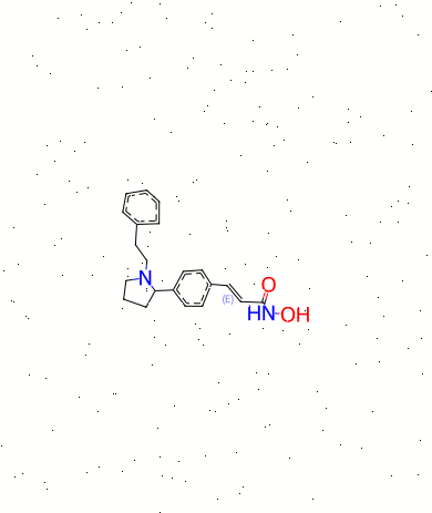 O=C(/C=C/c1ccc(C2CCCN2CCc2ccccc2)cc1)NO